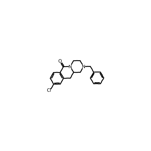 O=C1c2ccc(Cl)cc2CC2CN(Cc3ccccc3)CCN12